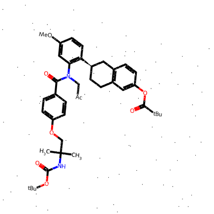 COc1ccc([C@@H]2CCc3cc(OC(=O)C(C)(C)C)ccc3C2)c(N(CC(C)=O)C(=O)c2ccc(OCC(C)(C)NC(=O)OC(C)(C)C)cc2)c1